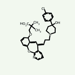 CC(C)(COC1C=CC=C2Oc3ncccc3C(=CCCN3CCC(O)(c4ccc(Cl)cc4)CC3)C=C21)C(=O)O